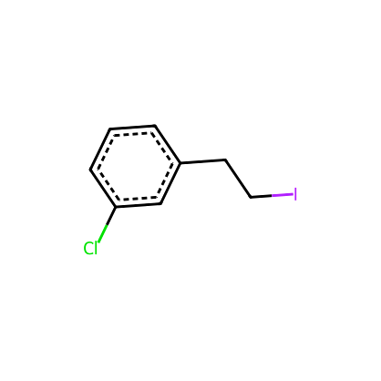 Clc1cccc(CCI)c1